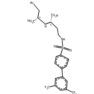 CC(C)C[C@H](N[C@@H](CCNS(=O)(=O)c1ccc(-c2cc(C(F)(F)F)cc(C(F)(F)F)c2)cc1)C(=O)O)C(=O)O